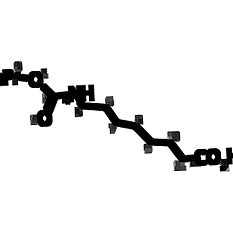 CCCOC(=O)NCCCCCCCC(=O)O